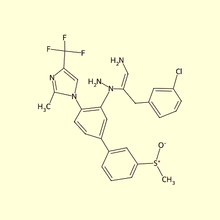 Cc1nc(C(F)(F)F)cn1-c1ccc(-c2cccc([S+](C)[O-])c2)cc1N(N)/C(=C\N)Cc1cccc(Cl)c1